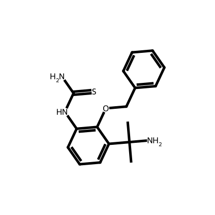 CC(C)(N)c1cccc(NC(N)=S)c1OCc1ccccc1